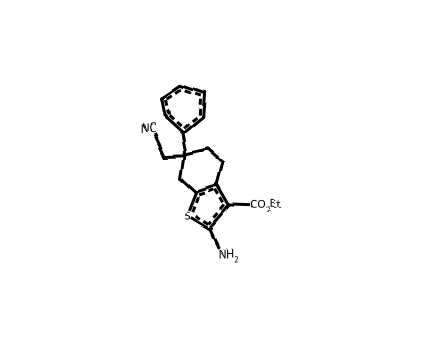 CCOC(=O)c1c(N)sc2c1CCC(CC#N)(c1ccccc1)C2